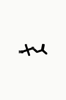 [CH2]C(C)(O)OCC(=C)C